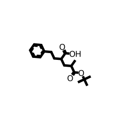 CC(CC(CCc1ccccc1)C(=O)O)C(=O)OC(C)(C)C